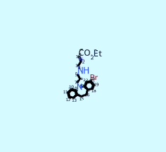 CCOC(=O)/C=C/CNCCCN1c2ccccc2CCc2ccc(Br)cc21